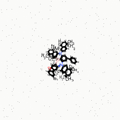 Cc1cc2c(cc1N1c3cc4c(cc3B3c5cc6c(cc5N(c5ccc7c(c5)C(C)(C)CCC7(C)C)c5cc(-c7ccccc7)cc1c53)C(C)(C)CCC6(C)C)oc1ccc(C(C)(C)C)cc14)C(C)(C)CCC2(C)C